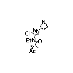 CCN(C(=O)C(C)SC(C)=O)c1cn(-c2cccnc2)nc1Cl